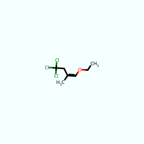 CCOC=C(C)CC(Cl)(Cl)Cl